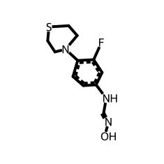 O/N=C/Nc1ccc(N2CCSCC2)c(F)c1